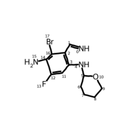 N=Cc1c(NC2CCCCO2)cc(F)c(N)c1Br